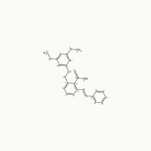 COc1cc(OC)nc(OCc2cccc(C=Cc3ccccc3)c2C(=O)O)n1